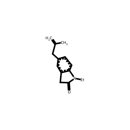 C=C(C)Cc1ccc2c(c1)CC(=O)N2CC